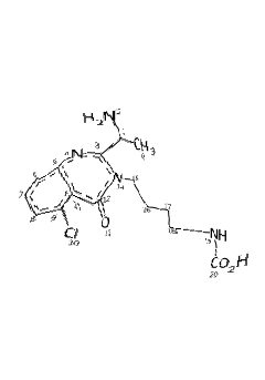 CC(N)c1nc2cccc(Cl)c2c(=O)n1CCCCNC(=O)O